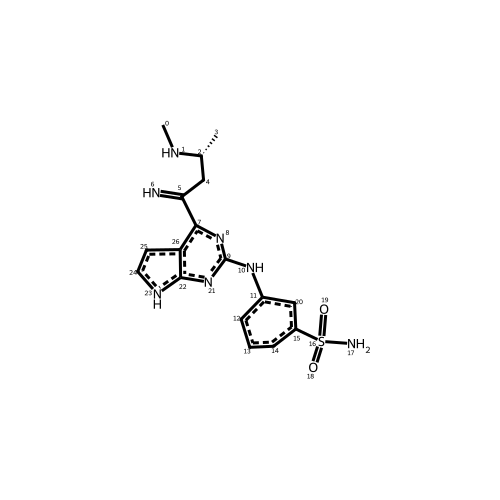 CN[C@H](C)CC(=N)c1nc(Nc2cccc(S(N)(=O)=O)c2)nc2[nH]ccc12